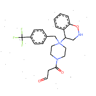 O=CCC(=O)N1CC[N+](Cc2ccc(C(F)(F)F)cc2)(C2CNOc3ccccc32)CC1